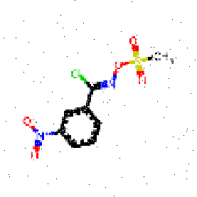 CS(=O)(=O)O/N=C(\Cl)c1cccc([N+](=O)[O-])c1